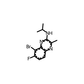 Cc1nc2ccc(F)c(Br)c2nc1NC(C)C